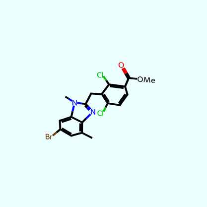 COC(=O)c1ccc(Cl)c(Cc2nc3c(C)cc(Br)cc3n2C)c1Cl